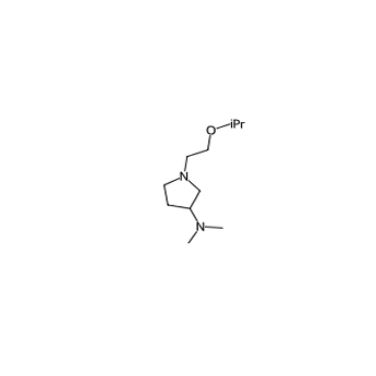 CC(C)OCCN1CCC(N(C)C)C1